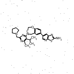 Cc1nc(CN2CCCC2)nc(N2CCOc3ccc(-c4cnc5sc(N)nc5c4)cc3C2)c1C(C)C